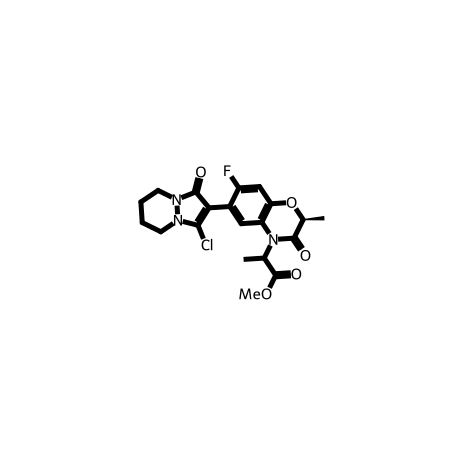 COC(=O)C(C)N1C(=O)[C@H](C)Oc2cc(F)c(-c3c(Cl)n4n(c3=O)CCCC4)cc21